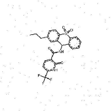 CCCc1ccc2c(c1)C(NC(=O)c1ccc(C(F)(F)F)[nH]c1=O)c1ccccc1S2(=O)=O